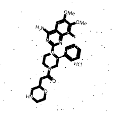 COc1cc2c(N)nc(N3CCN(C(=O)CC4CNCCO4)C[C@@H]3c3ccccc3)nc2c(F)c1OC.Cl